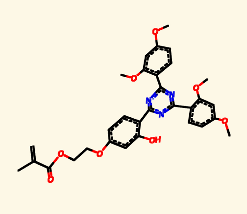 C=C(C)C(=O)OCCOc1ccc(-c2nc(-c3ccc(OC)cc3OC)nc(-c3ccc(OC)cc3OC)n2)c(O)c1